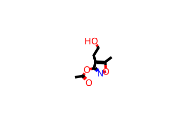 CC(=O)Oc1noc(C)c1CCO